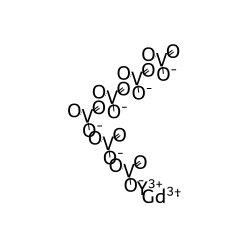 [Gd+3].[O]=[V](=[O])[O-].[O]=[V](=[O])[O-].[O]=[V](=[O])[O-].[O]=[V](=[O])[O-].[O]=[V](=[O])[O-].[O]=[V](=[O])[O-].[Y+3]